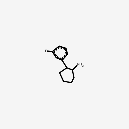 NC1CCCCC1c1cccc(F)c1